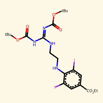 CCOC(=O)c1cc(I)c(NCCN/C(=N\C(=O)OC(C)(C)C)NC(=O)OC(C)(C)C)c(I)c1